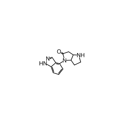 O=C1CC2NCCC2N1c1cccc2[nH]ncc12